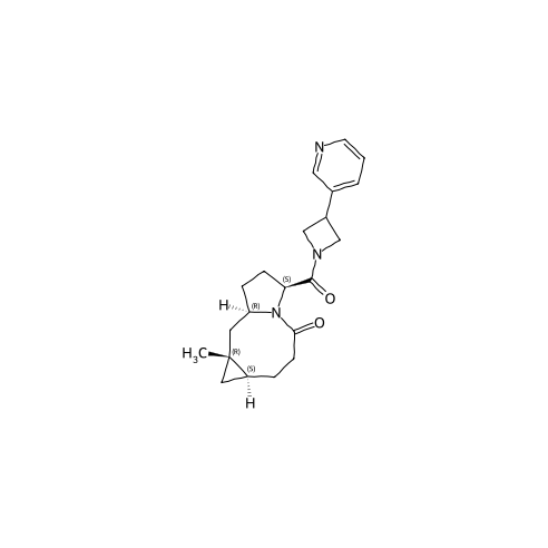 C[C@@]12C[C@H]3CC[C@@H](C(=O)N4CC(c5cccnc5)C4)N3C(=O)CC[C@H]1C2